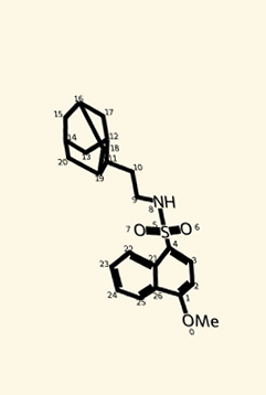 COc1ccc(S(=O)(=O)NCCC2C3CC4CC(C3)CC2C4)c2ccccc12